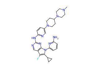 CN1CCN(C2CCN(c3ccc(Nc4ncc5c(F)c(C6CC6)n(-c6cccc(N)n6)c5n4)nc3)CC2)CC1